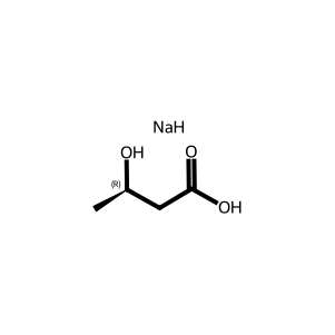 C[C@@H](O)CC(=O)O.[NaH]